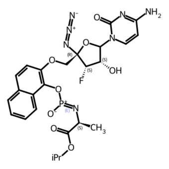 CC(C)OC(=O)[C@H](C)/N=[P+](\[O-])Oc1c(OC[C@@]2(N=[N+]=[N-])OC(n3ccc(N)nc3=O)[C@H](O)[C@@H]2F)ccc2ccccc12